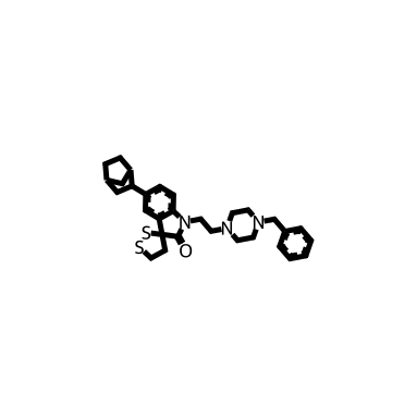 O=C1N(CCN2CCN(Cc3ccccc3)CC2)c2ccc(C3CC4CCC3C4)cc2C12CCSS2